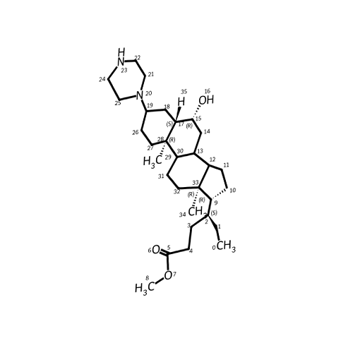 CC[C@@H](CCC(=O)OC)[C@H]1CCC2C3C[C@@H](O)[C@H]4CC(N5CCNCC5)CC[C@]4(C)C3CC[C@@]21C